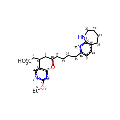 CCOc1ncc(C(CC(=O)O)CC(=O)CCCCc2ccc3c(n2)NCCCC3)cn1